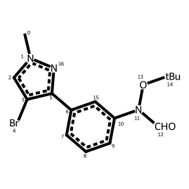 Cn1cc(Br)c(-c2cccc(N(C=O)OC(C)(C)C)c2)n1